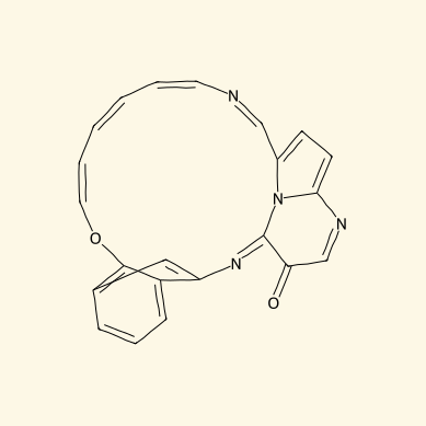 O=c1cnc2ccc3cnccccccoc4c5cccc4c(nc1n32)=C5